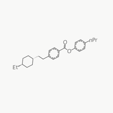 CCCc1ccc(OC(=O)c2ccc(CC[C@H]3CC[C@H](CC)CC3)cc2)cc1